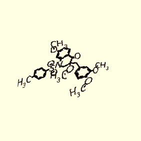 COc1ccc2c(c1)N(S(=O)(=O)c1ccc(C)cc1)CC(Cc1ccc(OC)c(OC)c1)(OC)C2=O